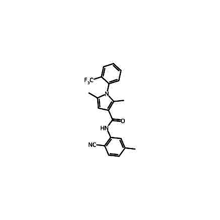 Cc1ccc(C#N)c(NC(=O)c2cc(C)n(-c3ccccc3C(F)(F)F)c2C)c1